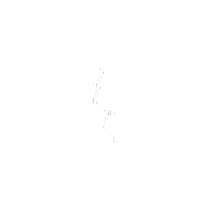 [CH2]CCNN=[N+]=[N-]